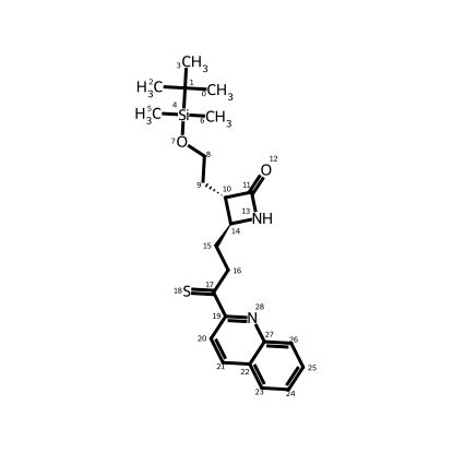 CC(C)(C)[Si](C)(C)OCC[C@@H]1C(=O)N[C@H]1CCC(=S)c1ccc2ccccc2n1